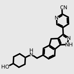 N#Cc1ccc(-c2n[nH]c3c2Cc2cc(CNC4CCC(O)CC4)ccc2-3)cn1